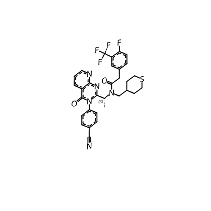 C[C@H](c1nc2ncccc2c(=O)n1-c1ccc(C#N)cc1)N(CC1CCSCC1)C(=O)Cc1ccc(F)c(C(F)(F)F)c1